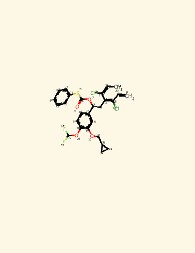 C=C/C(Cl)=C(C[C@H](OC(=O)Sc1ccccc1)c1ccc(OC(F)F)c(OCC2CC2)c1)\C(Cl)=C/C